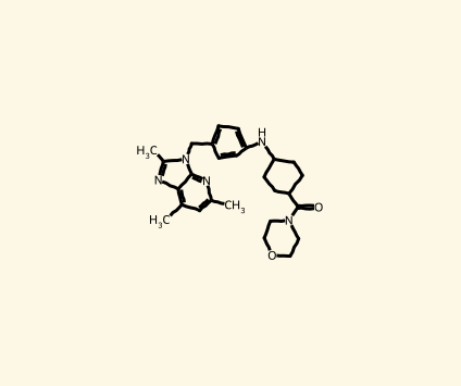 Cc1cc(C)c2nc(C)n(Cc3ccc(NC4CCC(C(=O)N5CCOCC5)CC4)cc3)c2n1